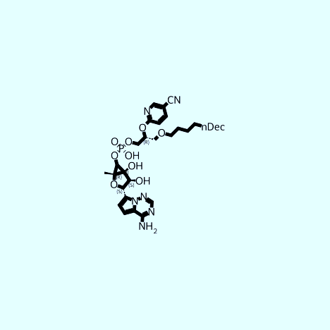 CCCCCCCCCCCCCCOC[C@H](COP(=O)(O)OC1[C@@]2(C)O[C@@H](c3ccc4c(N)ncnn34)[C@H](O)[C@@]12O)Oc1ccc(C#N)cn1